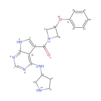 O=C(c1c[nH]c2ncnc(NC3CCNC3)c12)N1CC(Oc2ccccc2)C1